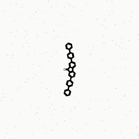 O=C1c2cc(-c3ccc(-c4ccccc4)cc3)ccc2-c2ccc(-c3ccc(-c4ccccc4)cc3)cc21